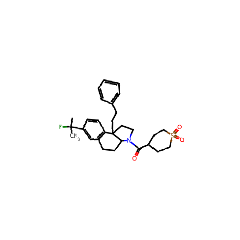 CC(F)(c1ccc2c(c1)CCC1N(C(=O)C3CCS(=O)(=O)CC3)CCC21CCc1ccccc1)C(F)(F)F